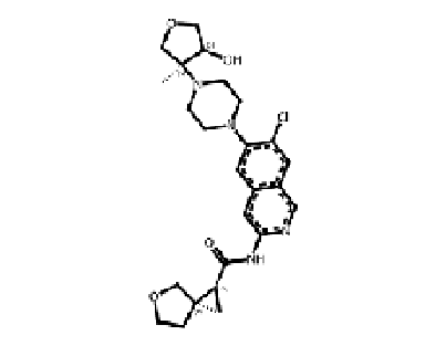 C[C@]1(N2CCN(c3cc4cc(NC(=O)[C@H]5C[C@@]56CCOC6)ncc4cc3Cl)CC2)COC[C@H]1O